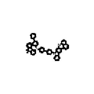 CC1(C)c2ccccc2-c2c(N(c3ccc(-c4ccccc4)cc3)c3ccc(-c4ccc(-n5c6ccccc6c6cc7c(cc65)Oc5cccc6cccc-7c56)cc4)cc3)cccc21